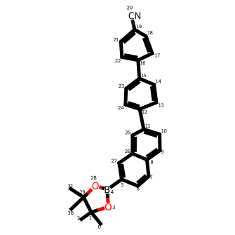 CC1(C)OB(c2ccc3ccc(-c4ccc(-c5ccc(C#N)cc5)cc4)cc3c2)OC1(C)C